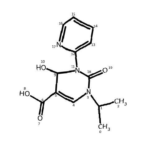 CC(C)N1C=C(C(=O)O)C(O)N(c2ccccn2)C1=O